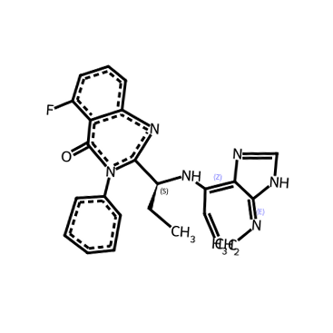 C=C/C(N[C@@H](CC)c1nc2cccc(F)c2c(=O)n1-c1ccccc1)=C1/N=CN/C1=N/C